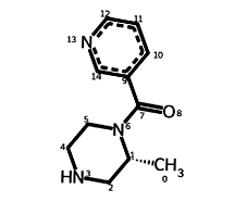 C[C@@H]1CNCCN1C(=O)c1cccnc1